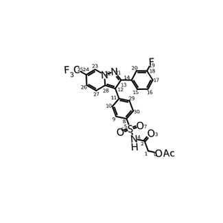 CC(=O)OCC(=O)NS(=O)(=O)c1ccc(-c2c(-c3cccc(F)c3)nn3cc(C(F)(F)F)ccc23)cc1